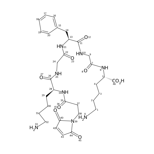 NCCCC[C@H](NC(=O)CNC(=O)[C@H](Cc1ccccc1)NC(=O)CNC(=O)[C@H](CCCCN)NC(=O)CCN1C(=O)C=CC1=O)C(=O)O